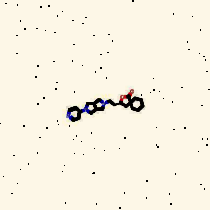 O=C1O[C@H](CCN2CC3CN(c4ccncc4)CC3C2)CC12CCCCC2